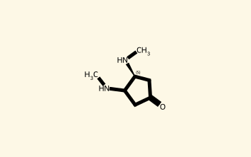 CNC1CC(=O)C[C@@H]1NC